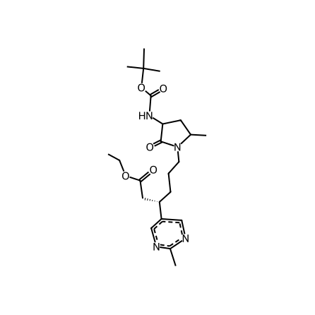 CCOC(=O)C[C@H](CCCN1C(=O)C(NC(=O)OC(C)(C)C)CC1C)c1cnc(C)nc1